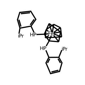 CC(C)c1ccccc1P[C]12[CH]3[CH]4[CH]5[C]1(Pc1ccccc1C(C)C)[Fe]43521678[CH]2[CH]1[CH]6[CH]7[CH]28